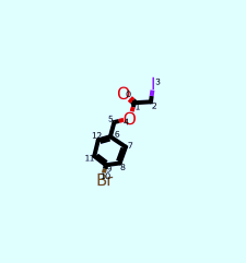 O=C(CI)OCc1ccc(Br)cc1